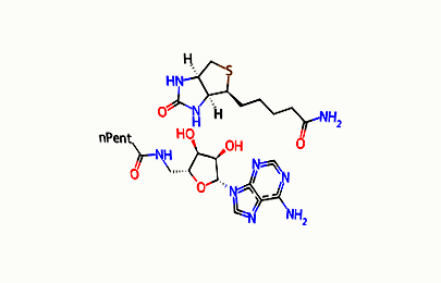 CCCCCC(=O)NC[C@H]1O[C@@H](n2cnc3c(N)ncnc32)[C@H](O)[C@@H]1O.NC(=O)CCCC[C@@H]1SC[C@@H]2NC(=O)N[C@@H]21